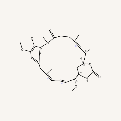 COc1cc2cc(c1Cl)N(C)C(=O)CC/C(C)=C/[C@H](C)[C@@H]1C[C@@H](NC(=O)O1)[C@H](OC)/C=C/C=C(\C)C2